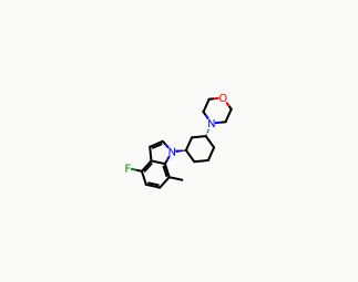 Cc1ccc(F)c2ccn([C@@H]3CCC[C@@H](N4CCOCC4)C3)c12